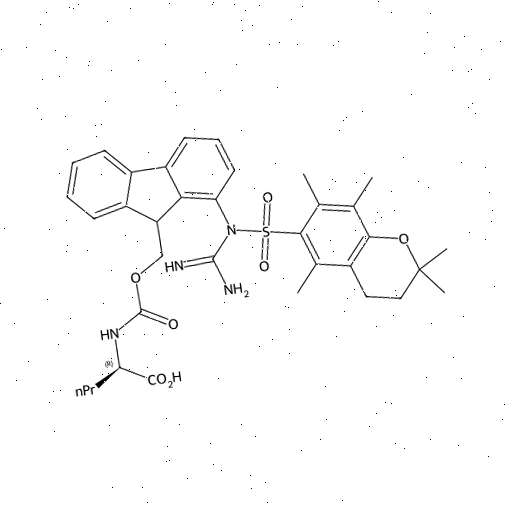 CCC[C@@H](NC(=O)OCC1c2ccccc2-c2cccc(N(C(=N)N)S(=O)(=O)c3c(C)c(C)c4c(c3C)CCC(C)(C)O4)c21)C(=O)O